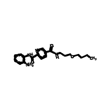 CCCCOCCCNC(=O)c1ccc(C(=O)Nc2ccccc2N)nc1